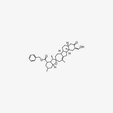 CC1=C2C[C@H]3C(CC[C@@H]4CC(=O)/C(=C\O)C[C@@]43C)[C@@H]2CCC2(C1)O[C@@H]1CC(C)CC(C(=O)OCc3ccccc3)C1[C@H]2C